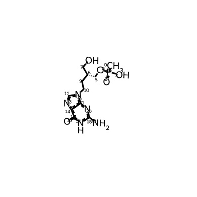 CP(=O)(O)OC[C@@H](CO)CCn1cnc2c(=O)[nH]c(N)nc21